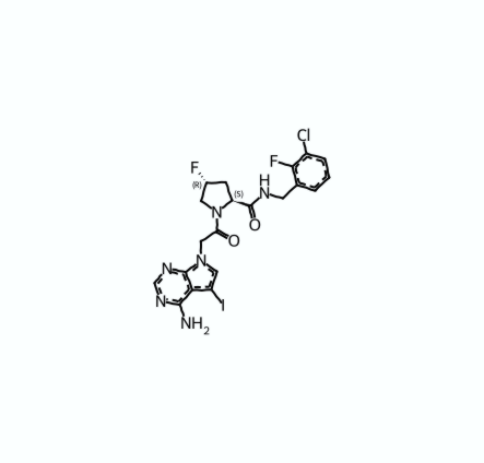 Nc1ncnc2c1c(I)cn2CC(=O)N1C[C@H](F)C[C@H]1C(=O)NCc1cccc(Cl)c1F